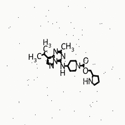 Cc1nc(NC2CCN(C(=O)OCC3CCCN3)CC2)n2ncc(C(C)C)c2n1